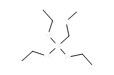 CCO[Si](CSC)(OCC)OCC